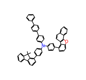 CC1(C)c2ccccc2-c2cccc(-c3ccc(N(c4ccc(-c5ccc(-c6ccccc6)cc5)cc4)c4ccc(-c5cccc6oc7c8ccccc8ccc7c56)cc4)cc3)c21